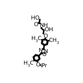 Cc1ccc(-c2nc(-c3cc(C)c(OC[C@@H](O)CNC(=O)CO)c(C)c3)no2)cc1OC(C)C